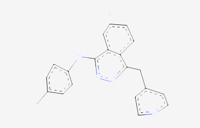 Clc1ccc(Nc2nnc(Cc3ccncc3)c3ccccc23)cc1.[H+]